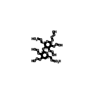 O=S(=O)(O)OC[C@H]1CC(OOO)C(OOO)[C@@H](O[C@@H]2C(OOO)C(OOO)[C@@H](OOOO)O[C@H]2COS(=O)(=O)O)O1